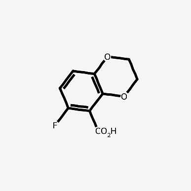 O=C(O)c1c(F)ccc2c1OCCO2